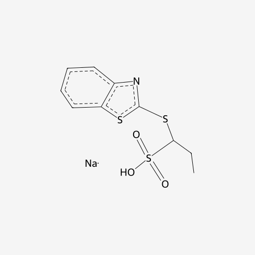 CCC(Sc1nc2ccccc2s1)S(=O)(=O)O.[Na]